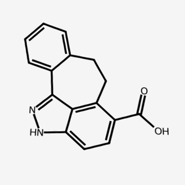 O=C(O)c1ccc2[nH]nc3c2c1CCc1ccccc1-3